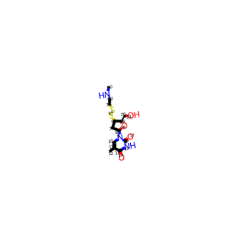 CNCCSSC1CC(n2cc(C)c(=O)[nH]c2=O)O[C@@H]1CO